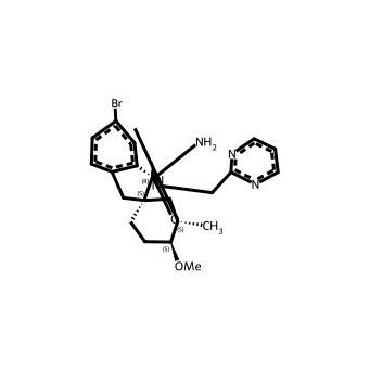 CO[C@H]1CC[C@@]2(Cc3ccc(Br)cc3[C@]23N=C(N)N(Cc2ncccn2)C3=O)C[C@@H]1C